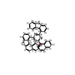 Clc1ccc2ccc3oc4cccc(-c5nc(-c6cccc7ccccc67)nc(-c6cccc7sc8ccccc8c67)n5)c4c3c2c1